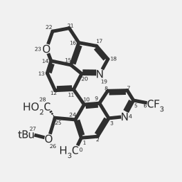 Cc1cc2nc(C(F)(F)F)ccc2c(-c2ccc3c4c(ccnc24)CCO3)c1[C@H](OC(C)(C)C)C(=O)O